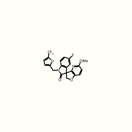 COc1ccc2c(n1)C1(CO2)C(=O)N(Cc2ccc(C(F)(F)F)o2)c2ccc(F)cc21